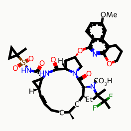 CC[C@@H]1C[C@@H](C)CCC=C[C@@H]2C[C@@]2(C(=O)NS(=O)(=O)C2(C)CC2)NC(=O)[C@@H]2C[C@@H](Oc3nc4c(c5cc(OC)ccc35)CCCO4)CN2C(=O)[C@H]1N(C(=O)O)C(C)(C)C(C)(F)F